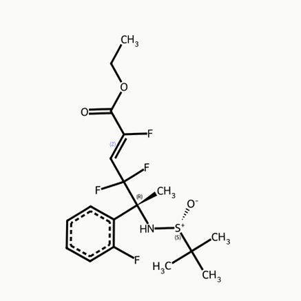 CCOC(=O)/C(F)=C/C(F)(F)[C@](C)(N[S@+]([O-])C(C)(C)C)c1ccccc1F